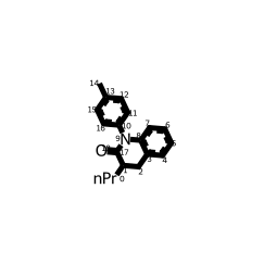 CCCC1Cc2ccccc2N(c2ccc(C)cc2)C1=O